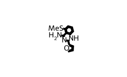 CSc1cccc2c1C(N)=NC(c1ccco1)N2